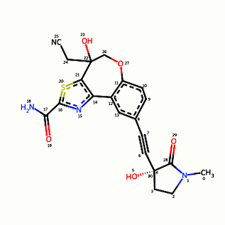 CN1CC[C@@](O)(C#Cc2ccc3c(c2)-c2nc(C(N)=O)sc2C(O)(CC#N)CO3)C1=O